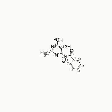 Cc1nc(O)c(S)c(-n2[se]c3ccccc3c2=O)n1